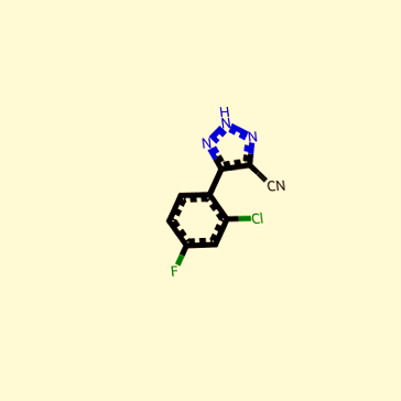 N#Cc1n[nH]nc1-c1ccc(F)cc1Cl